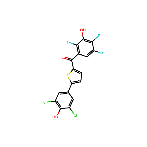 O=C(c1ccc(-c2cc(Cl)c(O)c(Cl)c2)s1)c1cc(F)c(F)c(O)c1F